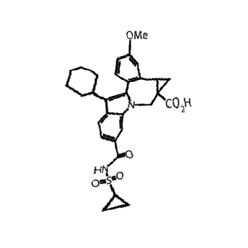 COc1ccc2c(c1)C1CC1(C(=O)O)Cn1c-2c(C2CCCCC2)c2ccc(C(=O)NS(=O)(=O)C3CC3)cc21